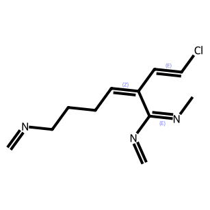 C=NCCC/C=C(/C=C/Cl)C(\N=C)=N/C